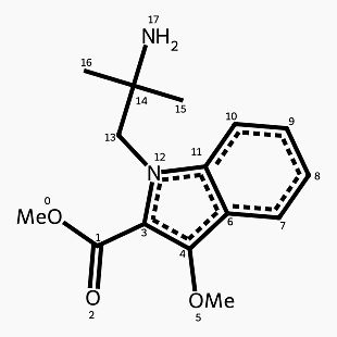 COC(=O)c1c(OC)c2ccccc2n1CC(C)(C)N